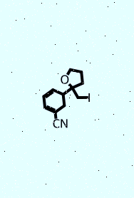 N#CC1=CC=CC(C2(CI)CCCO2)C1